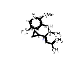 C=C(C)/C=C(/C1CC1)N(C)Nc1cc(C(F)(F)F)cnc1NC